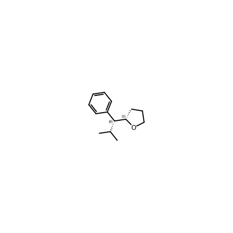 CC(C)[C@H](c1ccccc1)[C@@H]1CCCO1